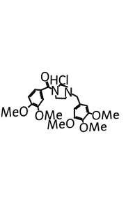 COc1ccc(C(=O)N2CCN(Cc3cc(OC)c(OC)c(OC)c3)CC2)cc1OC.Cl